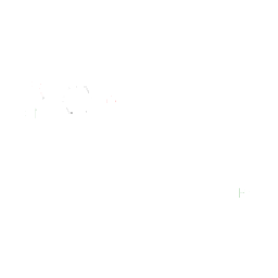 O=C(Cl)c1ccc(OCCCOCCCCCCBr)cc1